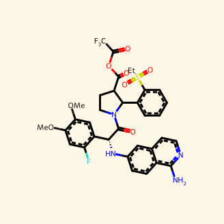 CCS(=O)(=O)c1ccccc1C1C(C(=O)OC(=O)C(F)(F)F)CCN1C(=O)[C@H](Nc1ccc2c(N)nccc2c1)c1cc(OC)c(OC)cc1F